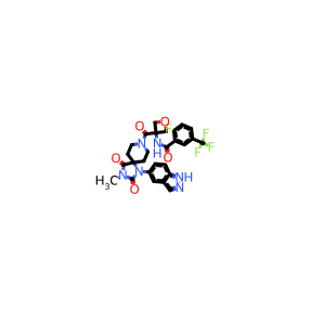 CN1C(=O)N(c2ccc3[nH]ncc3c2)C2(CCN(C(=O)C3(NC(=O)c4cc(C(F)(F)F)ccc4F)COC3)CC2)C1=O